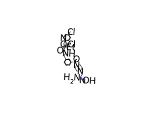 CC[C@@H](Oc1ncc(Cl)cc1Cl)C(=O)NCc1cccc(C(=O)N2CCN(C/C(N)=N\O)CC2)c1